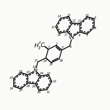 CC1C=C(Cn2c3ccccc3c3ccccc32)C=CC1Cn1c2ccccc2c2ccccc21